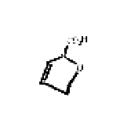 O=C(O)N1C=CCO1